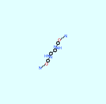 CN(C)CCCCOc1ccc(-c2nc3cc(-c4ccc5[nH]c(-c6ccc(OCCCCN(C)C)cc6)nc5c4)ccc3[nH]2)cc1